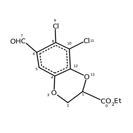 CCOC(=O)C1COc2cc(C=O)c(Cl)c(Cl)c2O1